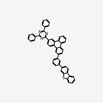 c1ccc(-c2nc(-c3ccccc3)nc(-c3ccc4c5cc(-c6cccc(-c7ccc8c(c7)sc7ccccc78)c6)ccc5c5ccccc5c4c3)n2)cc1